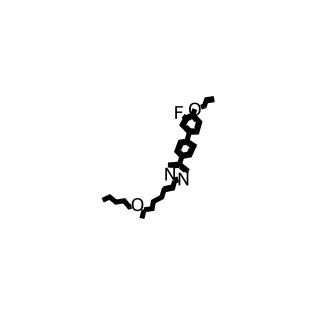 C=CCOc1ccc(-c2ccc(-c3cnc(C=CCCCC(C)OCCCCC)nc3)cc2)cc1F